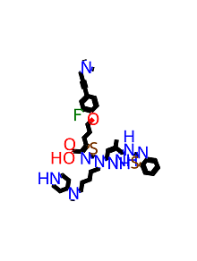 C/C(=C/C(=N)N(CCCCCN(C)C1CCNCC1)c1nc(C(=O)O)c(CCCOc2ccc(C#CCN(C)C)cc2F)s1)C(=N)Nc1nc2ccccc2s1